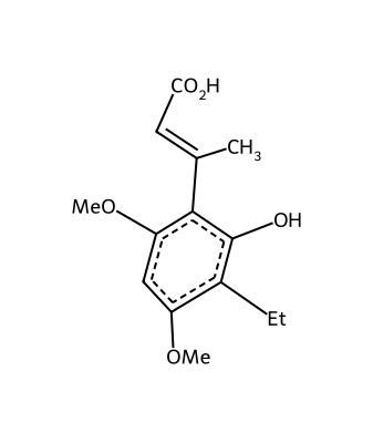 CCc1c(OC)cc(OC)c(C(C)=CC(=O)O)c1O